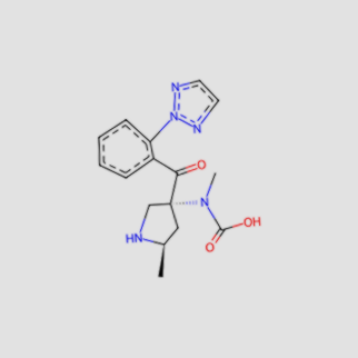 C[C@@H]1C[C@@](C(=O)c2ccccc2-n2nccn2)(N(C)C(=O)O)CN1